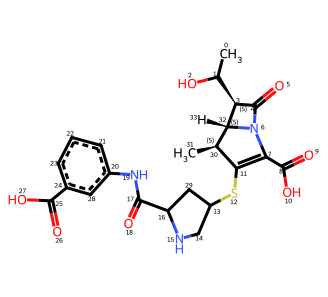 CC(O)[C@H]1C(=O)N2C(C(=O)O)=C(SC3CNC(C(=O)Nc4cccc(C(=O)O)c4)C3)[C@@H](C)[C@H]12